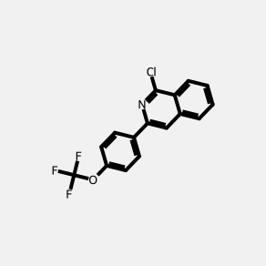 FC(F)(F)Oc1ccc(-c2cc3ccccc3c(Cl)n2)cc1